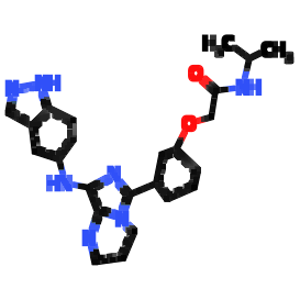 CC(C)NC(=O)COc1cccc(-c2nc(Nc3ccc4[nH]ncc4c3)c3ncccn23)c1